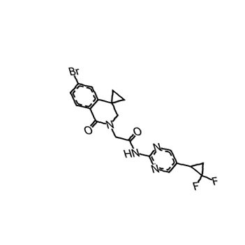 O=C(CN1CC2(CC2)c2cc(Br)ccc2C1=O)Nc1ncc(C2CC2(F)F)cn1